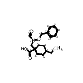 CCC1CCC(CN(C=O)OCc2ccccc2)(C(=O)O)CC1